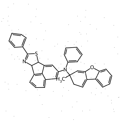 CC1(N(c2ccccc2)c2cc3c4c(cccc4c2)C2N=C(c4ccccc4)SC32)C=c2oc3ccccc3c2=CC1